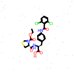 CCOC(=O)N1CSC[C@H]1C(=O)N[C@@H](Cc1ccc(NC(=O)c2c(Cl)cccc2Cl)cc1)C(=O)O